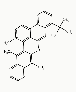 Cc1c2c(c(C)c3ccccc13)-c1c3c(cc4c(C(C)(C)C)cccc4c3cc[n+]1C)O2